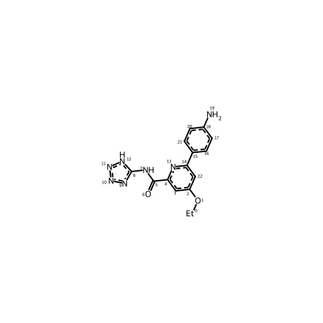 CCOc1cc(C(=O)Nc2nnn[nH]2)nc(-c2ccc(N)cc2)c1